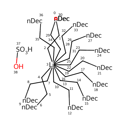 CCCCCCCCCCC[CH2][Li]([CH2]CCCCCCCCCCC)([CH2]CCCCCCCCCCC)([CH2]CCCCCCCCCCC)([CH2]CCCCCCCCCCC)([CH2]CCCCCCCCCCC)([CH2]CCCCCCCCCCC)([CH2]CCCCCCCCCCC)([CH2]CCCCCCCCCCC)([CH2]CCCCCCCCCCC)([CH2]CCCCCCCCCCC)[CH2]CCCCCCCCCCC.O=S(=O)(O)O